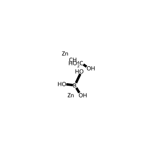 C.O=C(O)O.OB(O)O.[Zn].[Zn]